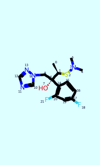 C[C@@H](SN(C)C)[C@](O)(Cn1cncn1)c1ccc(F)cc1F